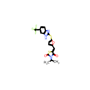 CC(C)N1C(=O)S/C(=C\c2ccc(Sc3nc4ccc(C(F)(F)F)cc4[nH]3)o2)C1=O